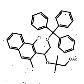 CC(=O)OCC(C)(C)OC(COC(c1ccccc1)(c1ccccc1)c1ccccc1)c1c(C)cc2ccccc2c1Cl